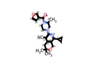 CC1CN(c2nc(C3CC3)c3c(c2C#N)CC(C)(C)OC3)CCN1C(=O)c1ccoc1